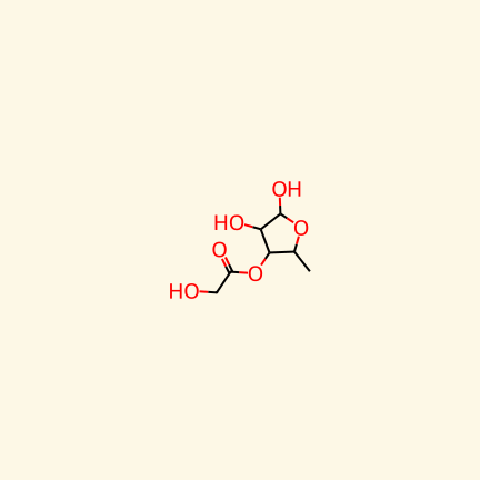 CC1OC(O)C(O)C1OC(=O)CO